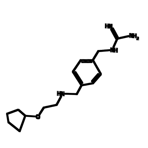 N=C(N)NCc1ccc(CNCCOC2CCCC2)cc1